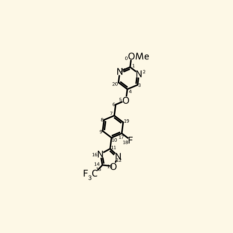 COc1ncc(OCc2ccc(-c3noc(C(F)(F)F)n3)c(F)c2)cn1